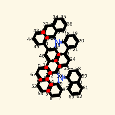 c1ccc(-c2ccccc2N(c2cc3cc(N(c4ccccc4-c4ccccc4)c4cccc5ccccc45)c(-c4ccccc4)cc3cc2-c2ccccc2)c2cccc3ccccc23)cc1